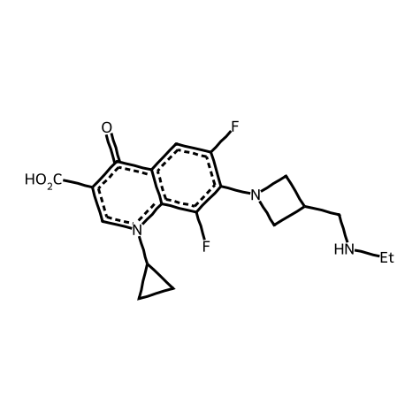 CCNCC1CN(c2c(F)cc3c(=O)c(C(=O)O)cn(C4CC4)c3c2F)C1